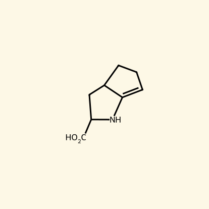 O=C(O)C1CC2CCC=C2N1